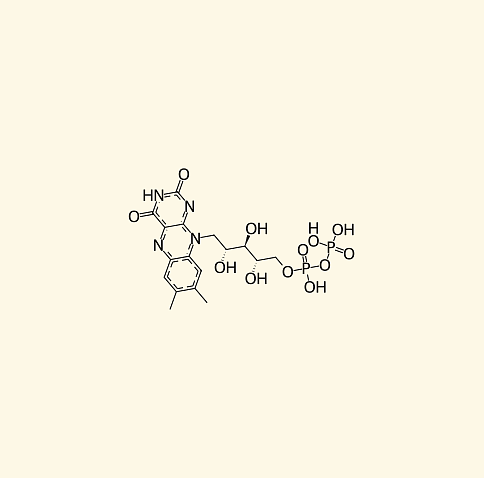 Cc1cc2nc3c(=O)[nH]c(=O)nc-3n(C[C@@H](O)[C@@H](O)[C@@H](O)COP(=O)(O)OP(=O)(O)O)c2cc1C